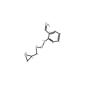 C=Cc1ccccc1SSSCC1CO1